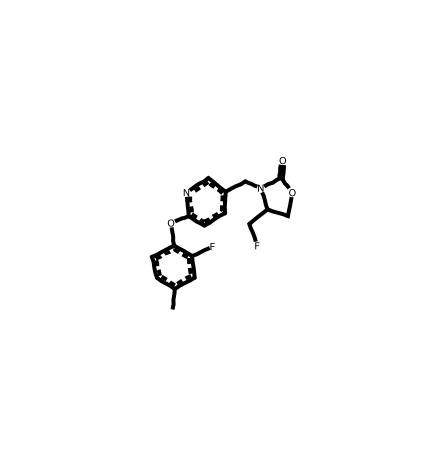 Cc1ccc(Oc2ccc(CN3C(=O)OCC3CF)cn2)c(F)c1